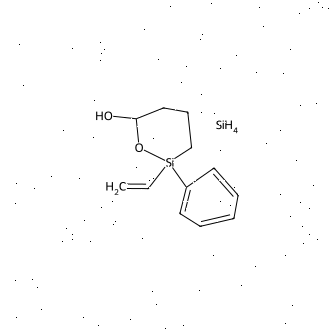 C=C[Si]1(c2ccccc2)CCCC(O)O1.[SiH4]